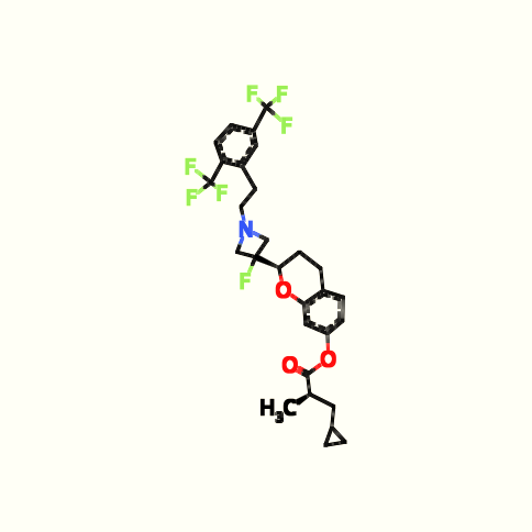 C[C@H](CC1CC1)C(=O)Oc1ccc2c(c1)O[C@@H](C1(F)CN(CCc3cc(C(F)(F)F)ccc3C(F)(F)F)C1)CC2